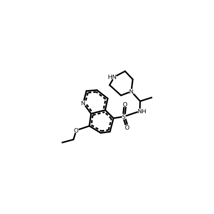 CCOc1ccc(S(=O)(=O)NC(C)N2CCNCC2)c2cccnc12